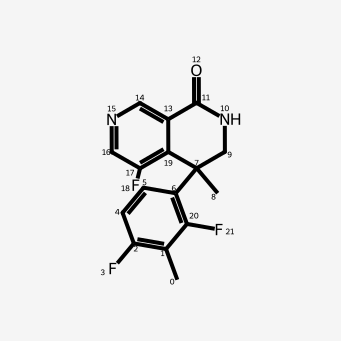 Cc1c(F)ccc(C2(C)CNC(=O)c3cncc(F)c32)c1F